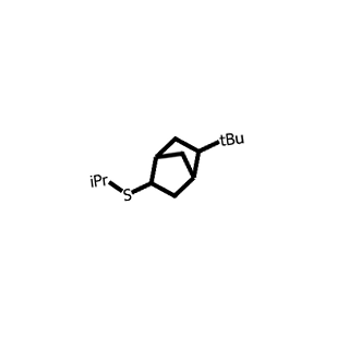 CC(C)SC1CC2CC1CC2C(C)(C)C